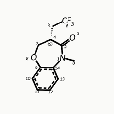 CN1C(=O)[C@@H]([CH]C(F)(F)F)COc2ccccc21